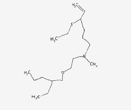 C=CC(CCCN(C)CCOCC(CC)CCC)SCC